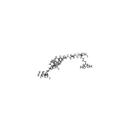 CN(CCCCC(CO)CO)CCCSSCCCOc1ccc2c(c1)CC[C@@H]1[C@@H]2CC[C@]2(C)[C@@H](OCCCOC(C(F)(F)F)(C(F)(F)F)C(F)(F)F)CC[C@@H]12